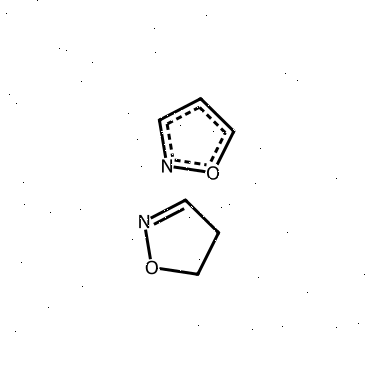 C1=NOCC1.c1cnoc1